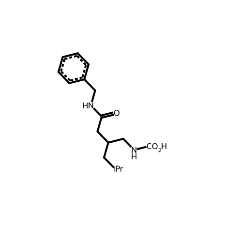 CC(C)CC(CNC(=O)O)CC(=O)NCc1ccccc1